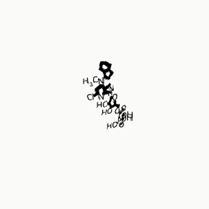 CN(c1cc(Cl)nc2c1cnn2C1OC(COP(=O)(O)CP(=O)(O)O)C(O)C1O)[C@H]1CCc2ccccc21